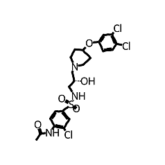 CC(=O)Nc1ccc(S(=O)(=O)NC[C@@H](O)CN2CCC(Oc3ccc(Cl)c(Cl)c3)CC2)cc1Cl